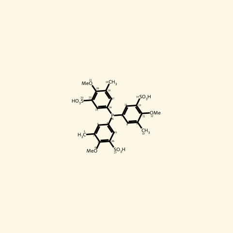 COc1c(C)cc(P(c2cc(C)c(OC)c(S(=O)(=O)O)c2)c2cc(C)c(OC)c(S(=O)(=O)O)c2)cc1S(=O)(=O)O